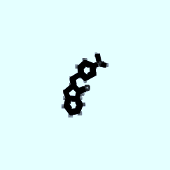 CN(C)c1ccc(C=C2Cc3ccccc3C2=O)cc1